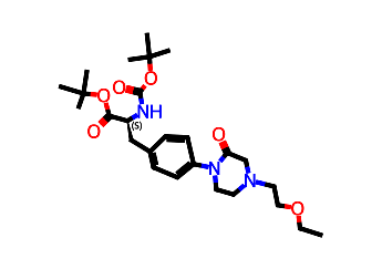 CCOCCN1CCN(c2ccc(C[C@H](NC(=O)OC(C)(C)C)C(=O)OC(C)(C)C)cc2)C(=O)C1